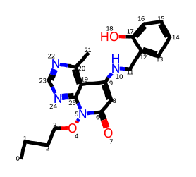 CCCCOn1c(=O)cc(NCc2ccccc2O)c2c(C)ncnc21